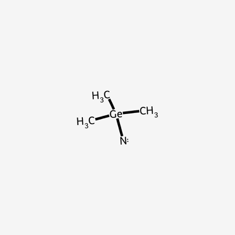 [CH3][Ge]([CH3])([CH3])[N]